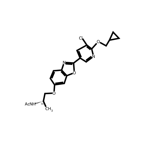 CC(=O)N[C@@H](C)COc1ccc2nc(-c3cnc(OCC4CC4)c(Cl)c3)oc2c1